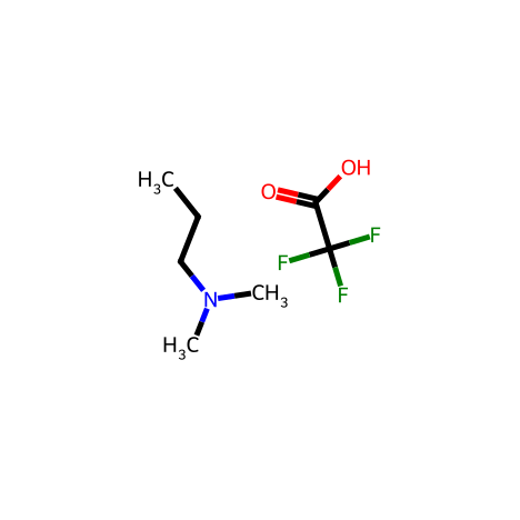 CCCN(C)C.O=C(O)C(F)(F)F